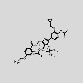 CCOc1ccc(C(=O)NCc2nc(-c3ccc(OC(F)F)c(OCC4CC4)c3)oc2[C@H](CC(C)(C)C)OC(N)=O)c(F)c1